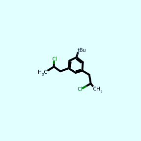 CC(Cl)Cc1cc(CC(C)Cl)cc(C(C)(C)C)c1